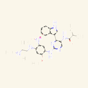 COc1cc(N(C)CCN(C)C)c([N+](=O)[O-])cc1Nc1ncc(NC(=O)C(C)C)c(-c2c[nH]c3ccccc23)n1